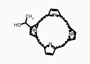 CC(O)c1cc2cc3nc(cc4ccc(cc5nc(cc1[nH]2)C=C5)[nH]4)C=C3